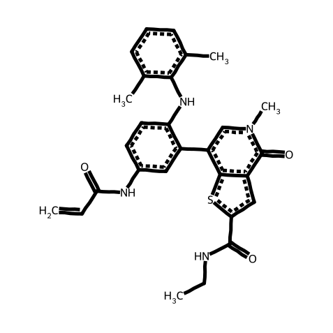 C=CC(=O)Nc1ccc(Nc2c(C)cccc2C)c(-c2cn(C)c(=O)c3cc(C(=O)NCC)sc23)c1